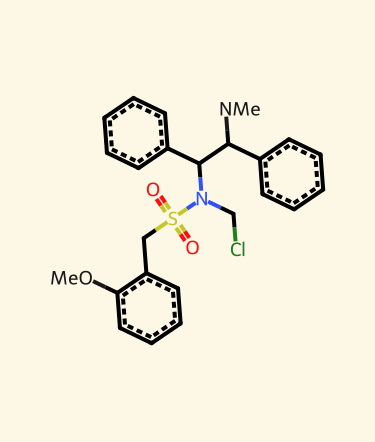 CNC(c1ccccc1)C(c1ccccc1)N(CCl)S(=O)(=O)Cc1ccccc1OC